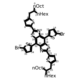 CCCCCCCCC(CCCCCC)Cc1ccc(-c2nc3c(-c4ccc(Br)s4)c4sc(-c5ccc(CC(CCCCCC)CCCCCCCC)s5)nc4c(-c4ccc(Br)s4)c3s2)s1